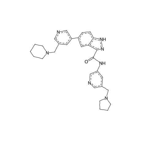 O=C(Nc1cncc(CN2CCCC2)c1)c1n[nH]c2ccc(-c3cncc(CN4CCCCC4)c3)cc12